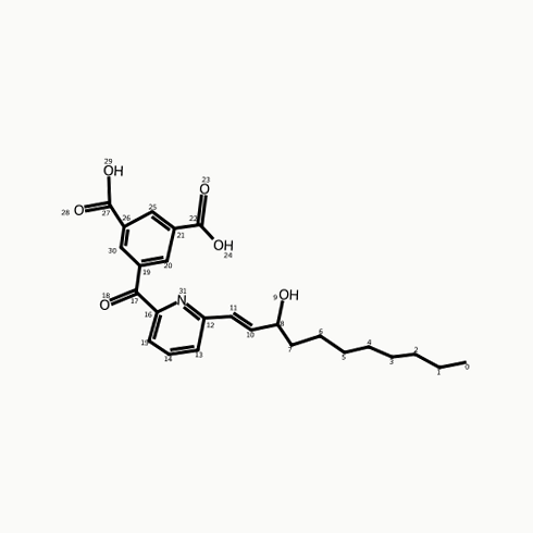 CCCCCCCCC(O)C=Cc1cccc(C(=O)c2cc(C(=O)O)cc(C(=O)O)c2)n1